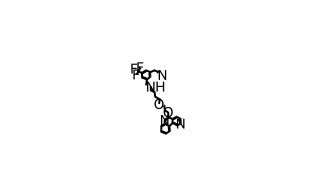 N#CCc1cc(CNCCCCOCCOc2nc3ccccc3c3cnccc23)cc(C(F)(F)F)c1